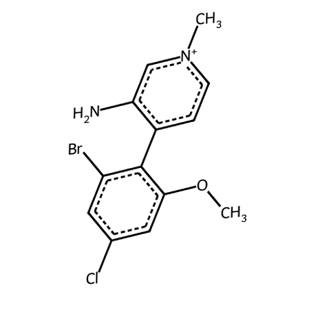 COc1cc(Cl)cc(Br)c1-c1cc[n+](C)cc1N